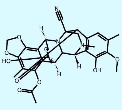 COc1c(C)cc2c(c1O)[C@@H]1C3[C@@H]4SCC(=O)C(O)OC[C@@H](c5c6c(c(C)c(OC(C)=O)c54)OCO6)N3C(C#N)(C2)CN1C